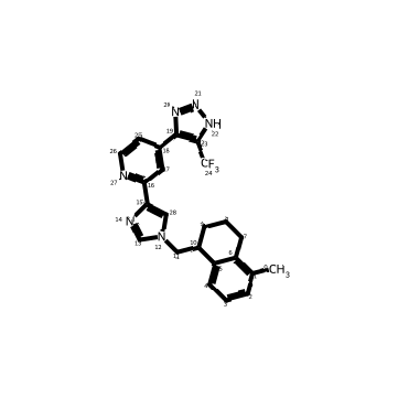 Cc1cccc2c1CCCC2Cn1cnc(-c2cc(-c3nn[nH]c3C(F)(F)F)ccn2)c1